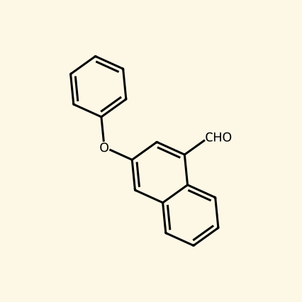 O=Cc1cc(Oc2ccccc2)cc2ccccc12